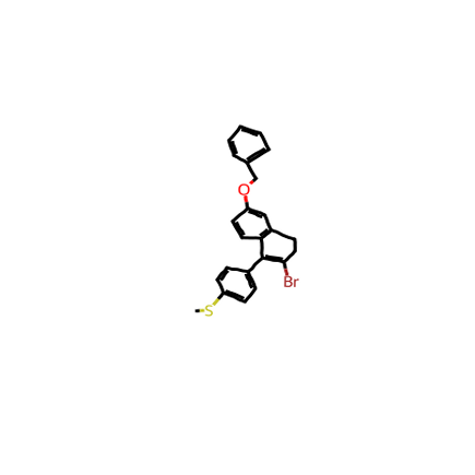 CSc1ccc(C2=C(Br)CCc3cc(OCc4ccccc4)ccc32)cc1